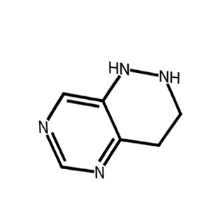 c1ncc2c(n1)CCNN2